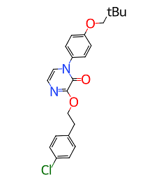 CC(C)(C)COc1ccc(-n2ccnc(OCCc3ccc(Cl)cc3)c2=O)cc1